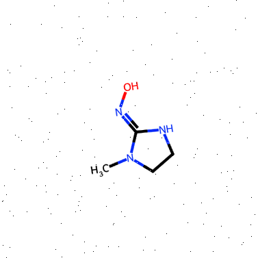 CN1CCNC1=NO